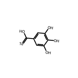 OC(=[Te])c1cc(O)c(O)c(O)c1